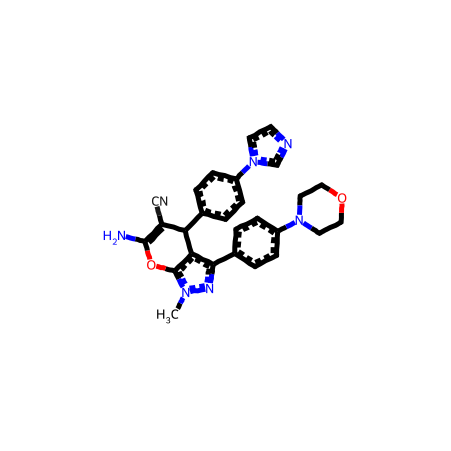 Cn1nc(-c2ccc(N3CCOCC3)cc2)c2c1OC(N)=C(C#N)C2c1ccc(-n2ccnc2)cc1